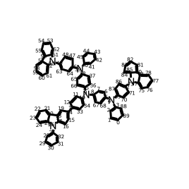 c1ccc(N(c2ccc(N(c3ccc(-c4ccc5c(c4)c4ccccc4n5-c4ccccc4)cc3)c3ccc(N(c4ccccc4)c4ccc(-n5c6ccccc6c6ccccc65)cc4)cc3)cc2)c2ccc(-n3c4ccccc4c4ccccc43)cc2)cc1